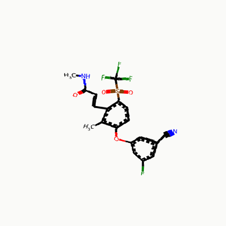 CNC(=O)C=Cc1c(S(=O)(=O)C(F)(F)F)ccc(Oc2cc(F)cc(C#N)c2)c1C